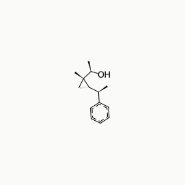 C[C@@H](c1ccccc1)[C@@H]1C[C@]1(C)[C@@H](C)O